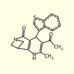 CC(=O)C1=C(C)NC2=C(C(=O)N3CC2C3)C1c1csc2ccccc12